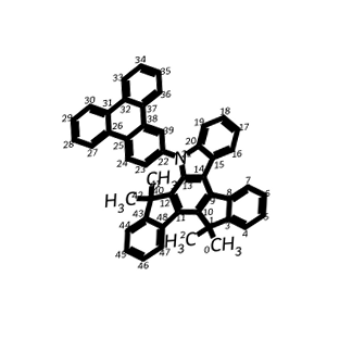 CC1(C)c2ccccc2-c2c1c1c(c3c2c2ccccc2n3-c2ccc3c4ccccc4c4ccccc4c3c2)C(C)(C)c2ccccc2-1